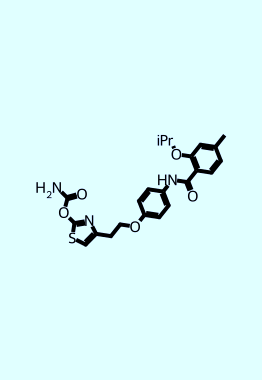 Cc1ccc(C(=O)Nc2ccc(OCCc3csc(OC(N)=O)n3)cc2)c(OC(C)C)c1